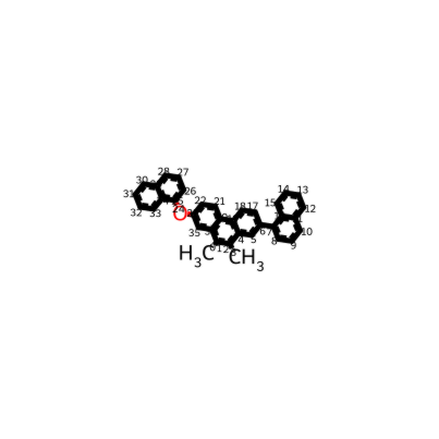 Cc1c(C)c2cc(-c3cccc4ccccc34)ccc2c2ccc(Oc3cccc4ccccc34)cc12